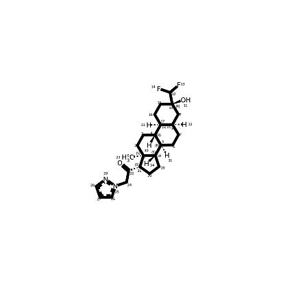 C[C@]12CC[C@H]3[C@@H](CC[C@@H]4C[C@@](O)(C(F)F)CC[C@@H]43)[C@@H]1CC[C@@H]2C(=O)Cn1cccn1